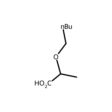 CCCCCOC(C)C(=O)O